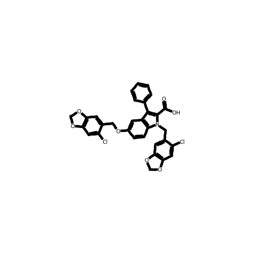 O=C(O)c1c(-c2ccccc2)c2cc(OCc3cc4c(cc3Cl)OCO4)ccc2n1Cc1cc2c(cc1Cl)OCO2